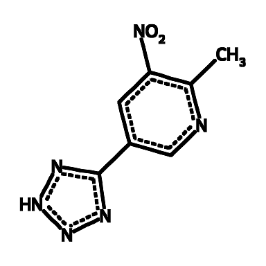 Cc1ncc(-c2nn[nH]n2)cc1[N+](=O)[O-]